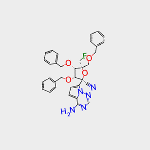 N#C[C@@]1(c2ccc3c(N)ncnn23)O[C@](CF)(COCc2ccccc2)[C@@H](OCc2ccccc2)[C@H]1OCc1ccccc1